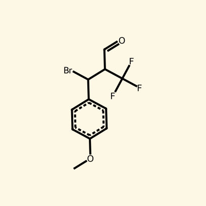 COc1ccc(C(Br)C(C=O)C(F)(F)F)cc1